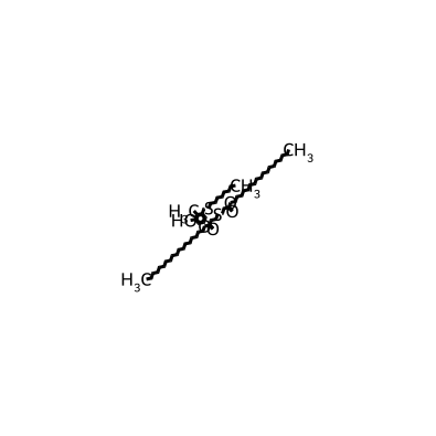 CCCCCCCCCCCCCCCCCCOC(=O)CCSCCC(=O)OCCCCCCCCCCCCCCCCCC.CCCCCCCCSCc1cccc(O)c1C